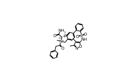 Cc1noc(NS(=O)(=O)c2ccccc2-c2ccc(C[N+](C)(C(=O)Cc3ccccc3)[C@H](C(N)=O)C(C)C)cc2)c1C